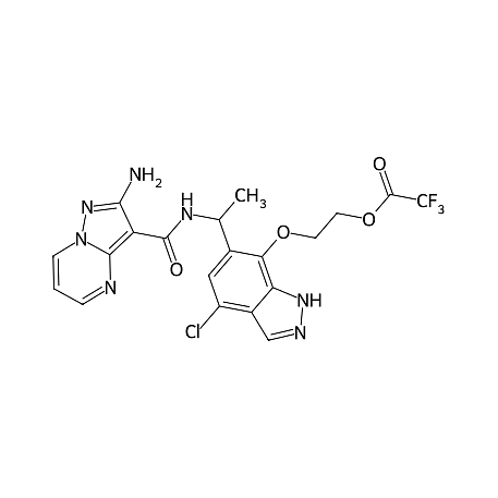 CC(NC(=O)c1c(N)nn2cccnc12)c1cc(Cl)c2cn[nH]c2c1OCCOC(=O)C(F)(F)F